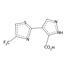 O=C(O)c1[nH]ncc1-c1nc(C(F)(F)F)cs1